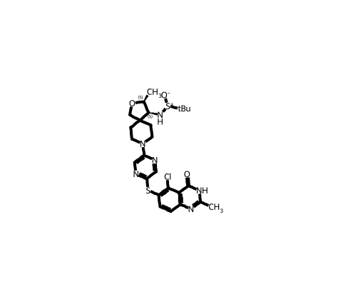 Cc1nc2ccc(Sc3cnc(N4CCC5(CC4)CO[C@@H](C)[C@H]5N[S+]([O-])C(C)(C)C)cn3)c(Cl)c2c(=O)[nH]1